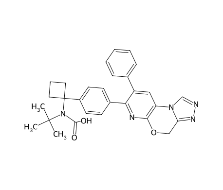 CC(C)(C)N(C(=O)O)C1(c2ccc(-c3nc4c(cc3-c3ccccc3)-n3cnnc3CO4)cc2)CCC1